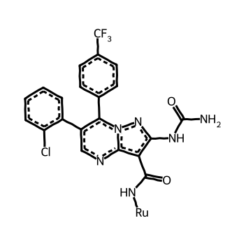 NC(=O)Nc1nn2c(-c3ccc(C(F)(F)F)cc3)c(-c3ccccc3Cl)cnc2c1C(=O)[NH][Ru]